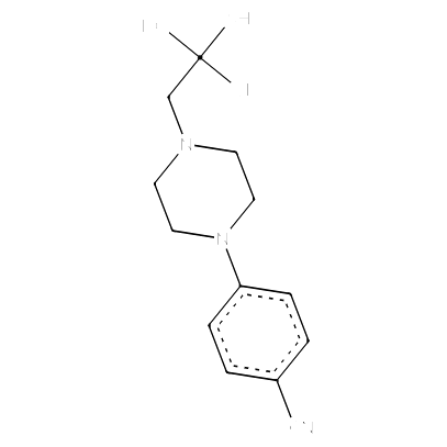 CC(C)(S)CN1CCN(c2ccc(C#N)cc2)CC1